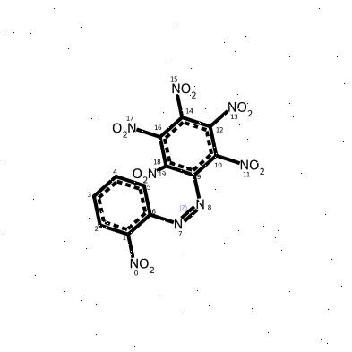 O=[N+]([O-])c1ccccc1/N=N\c1c([N+](=O)[O-])c([N+](=O)[O-])c([N+](=O)[O-])c([N+](=O)[O-])c1[N+](=O)[O-]